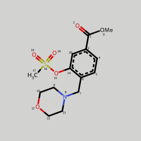 COC(=O)c1ccc(CN2CCOCC2)c(OS(C)(=O)=O)c1